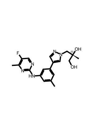 Cc1cc(Nc2ncc(F)c(C)n2)cc(-c2cnn(C[C@](C)(O)CO)c2)c1